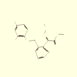 CNC(=O)/C(=N\OC)c1ccccc1COc1ccc(F)cc1F